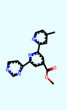 COC(=O)c1cc(-c2ccncn2)nc(-c2cc(C)ccn2)c1